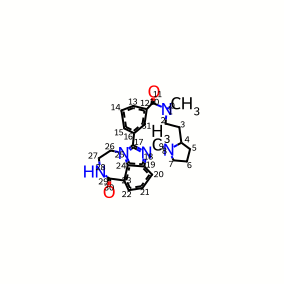 CN(CCC1CCCN1C)C(=O)c1cccc(-c2nc3cccc4c3n2CCNC4=O)c1